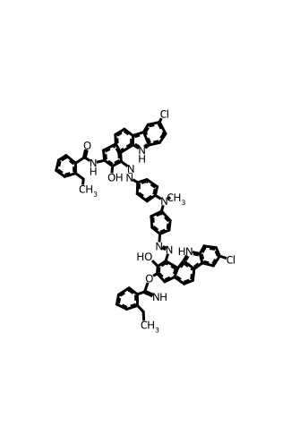 CCc1ccccc1C(=N)Oc1cc2ccc3c4cc(Cl)ccc4[nH]c3c2c(N=Nc2ccc(N(C)c3ccc(N=Nc4c(O)c(NC(=O)c5ccccc5CC)cc5ccc6c7cc(Cl)ccc7[nH]c6c45)cc3)cc2)c1O